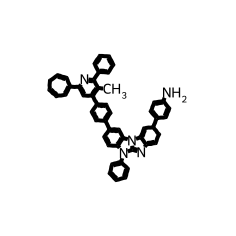 Cc1c(-c2ccc(-c3ccc4c(c3)n3c5c(nc3n4-c3ccccc3)=CCC(c3ccc(N)cc3)C=5)cc2)cc(C2=CC=CCC=C2)nc1-c1ccccc1